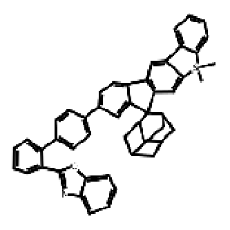 C[Si]1(C)c2ccccc2-c2cc3c(cc21)C1(c2cc(-c4ccc(-c5ccccc5-c5nc6ccccc6o5)cc4)ccc2-3)C2CC3CC(C2)CC1C3